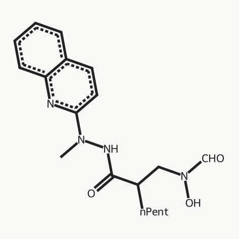 CCCCCC(CN(O)C=O)C(=O)NN(C)c1ccc2ccccc2n1